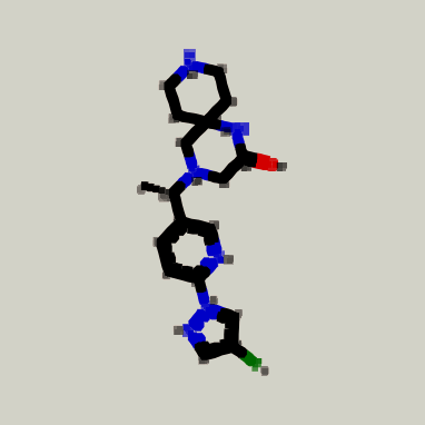 C[C@@H](c1ccc(-n2cc(F)cn2)nc1)N1CC(=O)NC2(CCNCC2)C1